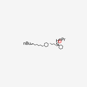 CCCC/C=C/CCCCC[C@H]1CC[C@H](CCCC[SiH](COCCC)C2CCCCC2)CC1